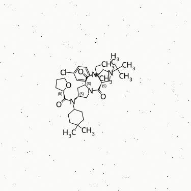 CCN(C)C(=O)[C@@H]1C[C@H](N(C(=O)[C@H]2CCCO2)C2CCC(C)(C)CC2)CN1C(=O)[C@@H]1CN(C(C)(C)C)C[C@H]1c1ccc(Cl)cc1